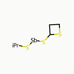 CC(C)[S][Sb][S]C1CCS1